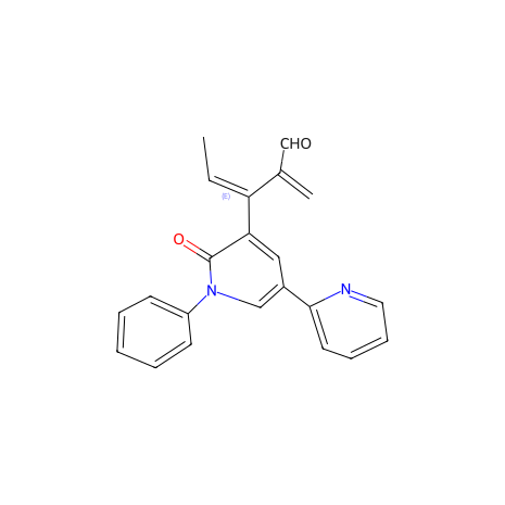 C=C(C=O)/C(=C\C)c1cc(-c2ccccn2)cn(-c2ccccc2)c1=O